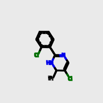 CC(C)C1NC(c2ccccc2Cl)=NC=C1Cl